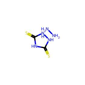 NN.S=c1[nH][nH]c(=S)[nH]1